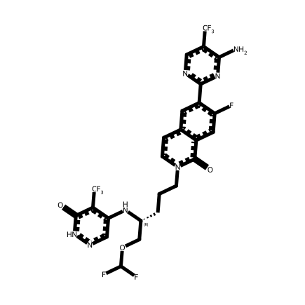 Nc1nc(-c2cc3ccn(CCC[C@H](COC(F)F)Nc4cn[nH]c(=O)c4C(F)(F)F)c(=O)c3cc2F)ncc1C(F)(F)F